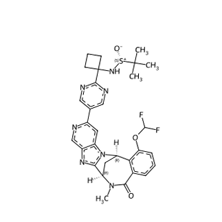 CN1C(=O)c2cccc(OC(F)F)c2[C@H]2C[C@@H]1c1nc3cnc(-c4cnc(C5(N[S@+]([O-])C(C)(C)C)CCC5)nc4)cc3n12